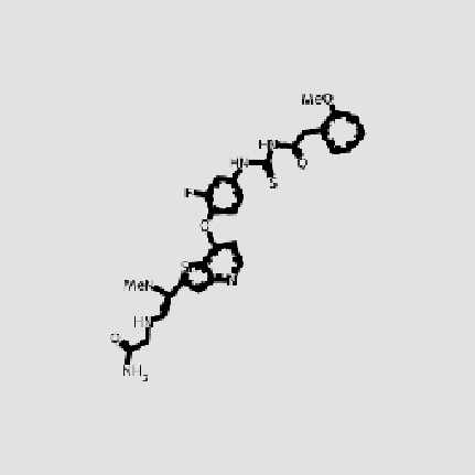 CN/C(=C\NCC(N)=O)c1cc2nccc(Oc3ccc(NC(=S)NC(=O)Cc4ccccc4OC)cc3F)c2s1